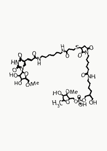 COCC1OC(n2cc(/C=C/C(=O)NCCCCCCNC(=O)CCSC3CC(=O)N(CCCCCC(=O)NCCCCC(CO)COP(=O)(O)OCC4OC(C)C(O)C4OC)C3=O)c(=O)[nH]c2=O)C(O)C1O